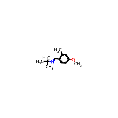 COc1ccc(/C=N/C(C)(C)C)c(C)c1